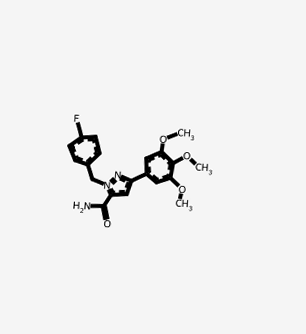 COc1cc(-c2cc(C(N)=O)n(Cc3ccc(F)cc3)n2)cc(OC)c1OC